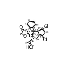 Cl.O=C1COC(=O)N1c1ccccc1[C@@H]1CN(C2CC2)Cc2c(Cl)cc(Cl)cc21